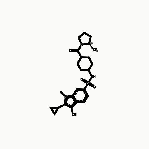 Cn1c(C2CC2)c(C#N)c2ccc(S(=O)(=O)NC3CCC(C(=O)N4CCC[C@@H]4C(F)(F)F)CC3)cc21